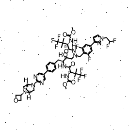 COC(=O)N[C@H](C(=O)N[C@@H](Cc1ccc(-c2cnc(N3C[C@H]4C[C@@H]3CN4C3COC3)nc2)cc1)[C@@H](O)CN(Cc1c(F)cc(-c2ccn(CC(F)F)n2)cc1F)NC(=O)[C@@H](NC(=O)OC)C(C)(C)C(F)(F)F)C(C)(C)C(F)(F)F